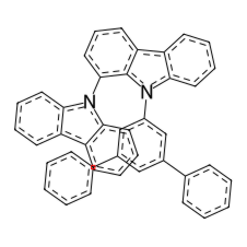 c1ccc(-c2cc(-c3ccccc3)cc(-n3c4ccccc4c4cccc(-n5c6ccccc6c6ccccc65)c43)c2)cc1